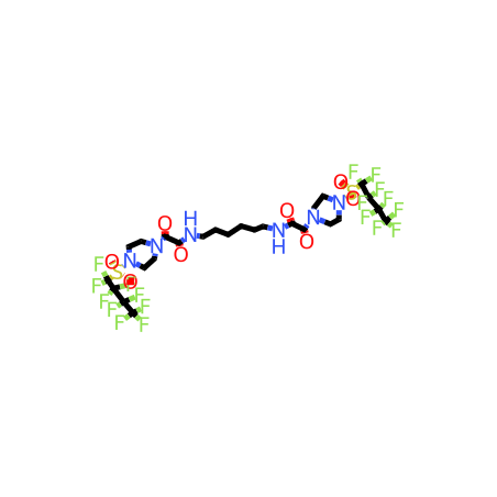 O=C(NCCCCCCNC(=O)C(=O)N1CCN(S(=O)(=O)C(F)(F)C(F)(F)C(F)(F)C(F)(F)F)CC1)C(=O)N1CCN(S(=O)(=O)C(F)(F)C(F)(F)C(F)(F)C(F)(F)F)CC1